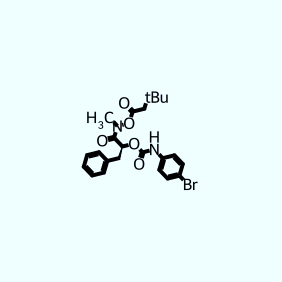 CN(OC(=O)CC(C)(C)C)C(=O)[C@H](Cc1ccccc1)OC(=O)Nc1ccc(Br)cc1